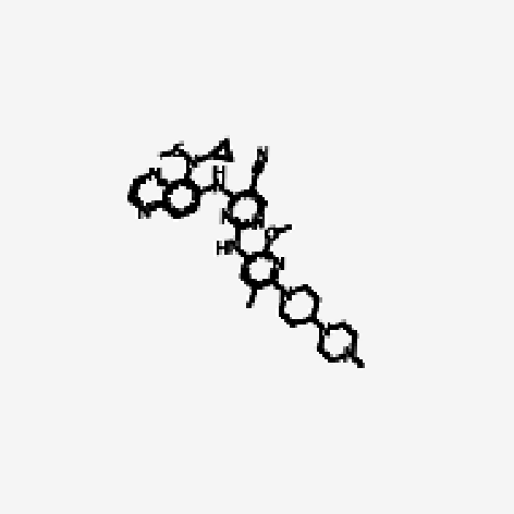 COc1nc(N2CCC(N3CCN(C)CC3)CC2)c(C)cc1Nc1ncc(C#N)c(Nc2ccc3nccnc3c2N(SC)C2CC2)n1